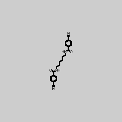 N#Cc1ccc(C(=O)NCCCCCCNC(=O)c2ccc(C#N)cc2)cc1